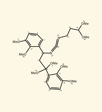 COc1cccc(C(CC(OC)(OC)c2cccc(OC)c2OC)N=C=NCCC(OC)OC)c1OC